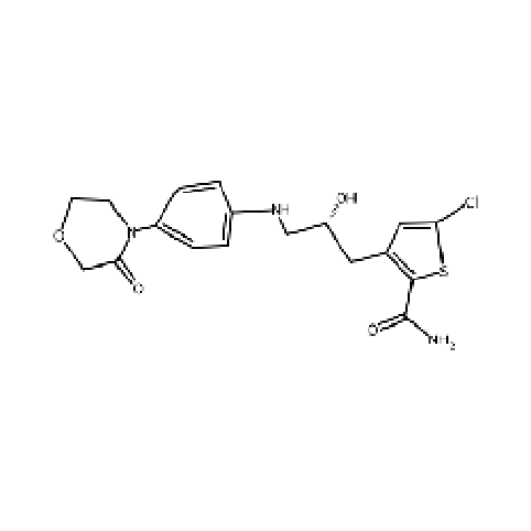 NC(=O)c1sc(Cl)cc1C[C@@H](O)CNc1ccc(N2CCOCC2=O)cc1